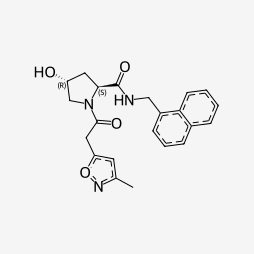 Cc1cc(CC(=O)N2C[C@H](O)C[C@H]2C(=O)NCc2cccc3ccccc23)on1